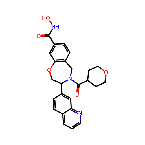 O=C(NO)c1ccc2c(c1)OCC(c1ccc3cccnc3c1)N(C(=O)C1CCOCC1)C2